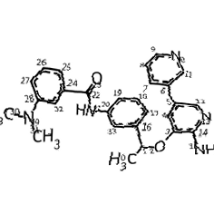 CC(Oc1cc(-c2cccnc2)cnc1N)c1cccc(NC(=O)c2cccc(N(C)C)c2)c1